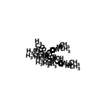 CC(=O)N(C)[C@H](C(=O)N(C)[C@H](Cc1ccc(/N=N/N(C)C)cc1)C(=O)N(C)[C@H](C(=O)N(C)[C@H](Cc1ccc(/N=N/N(C)C)cc1)C(=O)O)C(C)C)C(C)C